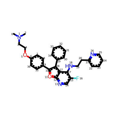 CN(C)CCOc1ccc(-c2oc3ncc(F)c(NCCc4ccccn4)c3c2-c2ccccc2)cc1